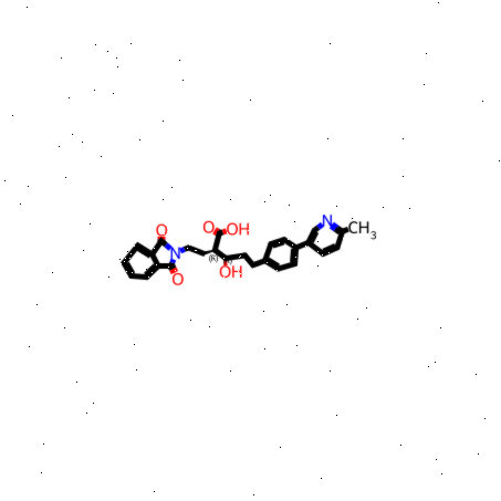 Cc1ccc(-c2ccc(CC[C@@H](O)[C@@H](CCN3C(=O)c4ccccc4C3=O)C(=O)O)cc2)cn1